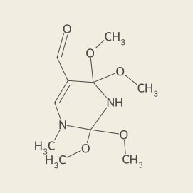 COC1(OC)NC(OC)(OC)N(C)C=C1C=O